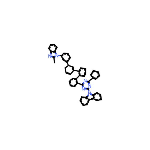 Cc1nc2ccccc2n1-c1cccc(C2C=C(c3ccccc3-c3ccccc3-c3nc(-c4ccccc4)nc(-n4c5ccccc5c5ccccc54)n3)C=CC2)c1